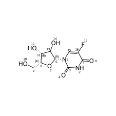 O=c1[nH]c(=O)n([C@@H]2O[C@H](CO)[C@H](O)C2O)cc1F